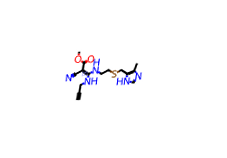 C#CCN/C(NCCSCc1[nH]cnc1C)=C(\C#N)C(=O)OC